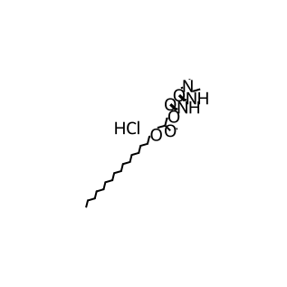 CCCCCCCCCCCCCCCCOCC(COC(=O)NC(=O)NC(C)N(C)C)OC.Cl